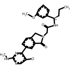 CCC[C@@H](NC(=O)CN1Cc2ccc(-c3nc(NC)ncc3Cl)cc2C1=O)c1cccc(OC)c1